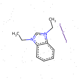 CCn1c[n+](CC)c2ccccc21.I[I-]I